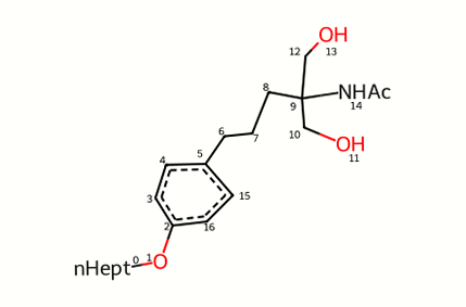 CCCCCCCOc1ccc(CCCC(CO)(CO)NC(C)=O)cc1